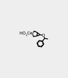 CC(OC1C2CN(C(=O)O)CC21)c1ccccc1